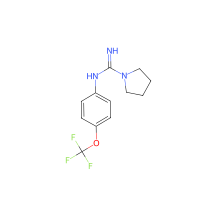 N=C(Nc1ccc(OC(F)(F)F)cc1)N1CCCC1